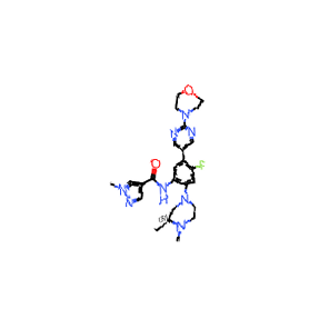 C[C@H]1CN(c2cc(F)c(-c3cnc(N4CCOCC4)nc3)cc2NC(=O)c2cnn(C)c2)CCN1C